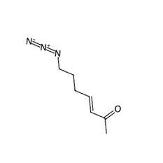 CC(=O)/C=C/CCCN=[N+]=[N-]